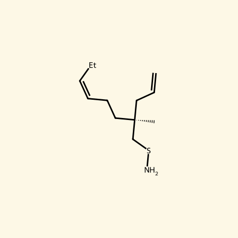 C=CC[C@](C)(CC/C=C\CC)CSN